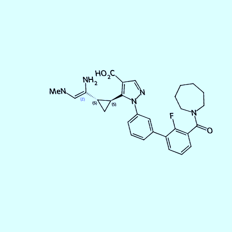 CN/C=C(\N)[C@H]1C[C@@H]1c1c(C(=O)O)cnn1-c1cccc(-c2cccc(C(=O)N3CCCCCC3)c2F)c1